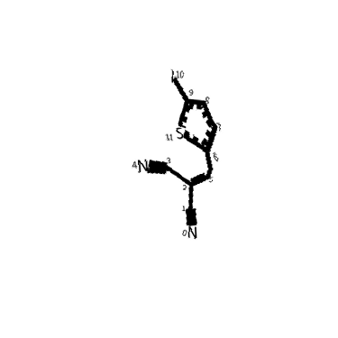 N#CC(C#N)=Cc1ccc(I)s1